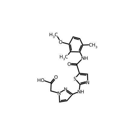 COc1ccc(C)c(NC(=O)c2cnc(Nc3ccn(CC(=O)O)n3)s2)c1C